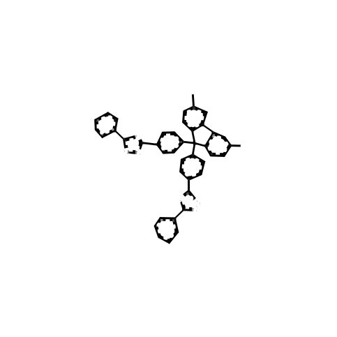 Cc1ccc2c(c1)-c1cc(C)ccc1C2(c1ccc(-c2nnc(-c3ccccc3)o2)cc1)c1ccc(-c2nnc(-c3ccccc3)o2)cc1